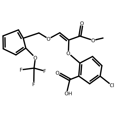 COC(=O)C(=COCc1ccccc1OC(F)(F)F)Oc1ccc(Cl)cc1C(=O)O